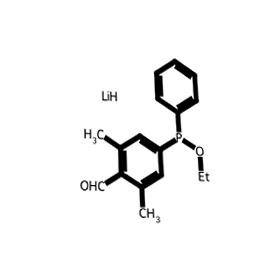 CCOP(c1ccccc1)c1cc(C)c(C=O)c(C)c1.[LiH]